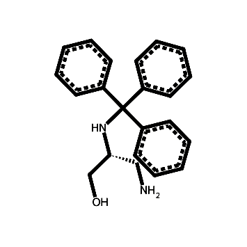 NC[C@H](CO)NC(c1ccccc1)(c1ccccc1)c1ccccc1